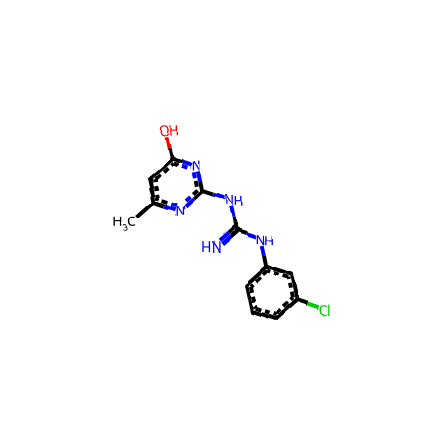 Cc1cc(O)nc(NC(=N)Nc2cccc(Cl)c2)n1